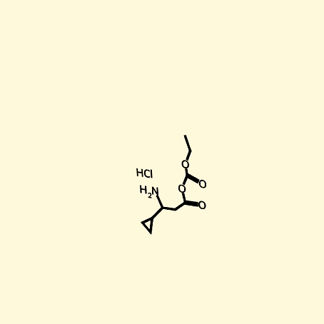 CCOC(=O)OC(=O)CC(N)C1CC1.Cl